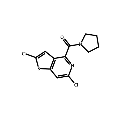 O=C(c1nc(Cl)cc2sc(Cl)cc12)N1CCCC1